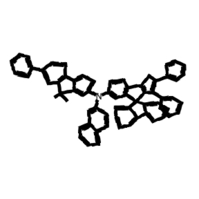 CC1(C)c2cc(-c3ccccc3)ccc2-c2ccc(N(c3ccc4c(c3)C3(C5=C4CC(c4ccccc4)=C5c4ccccc4)c4ccccc4-c4ccccc43)c3ccc4ccccc4c3)cc21